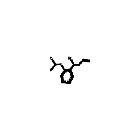 C=CCC(Br)c1ccccc1OC(F)F